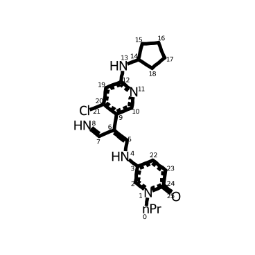 CCCn1cc(N/C=C(\C=N)c2cnc(NC3CCCC3)cc2Cl)ccc1=O